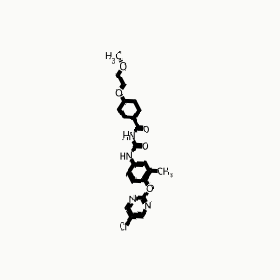 COCCOC1CCC(C(=O)NC(=O)Nc2ccc(Oc3ncc(Cl)cn3)c(C)c2)CC1